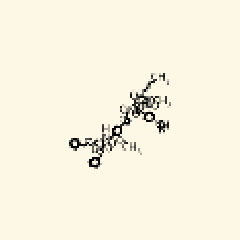 CCCCC[C@@H](C(=O)NCNC(=O)c1ccc(-c2ccc(C(=O)N[C@@H](CC(=O)OCc3ccccc3)C(=O)OCc3ccccc3)c(OCC)c2)o1)[C@@H](CC)N(C=O)OC(=O)c1ccc(-n2cnnc2)cc1